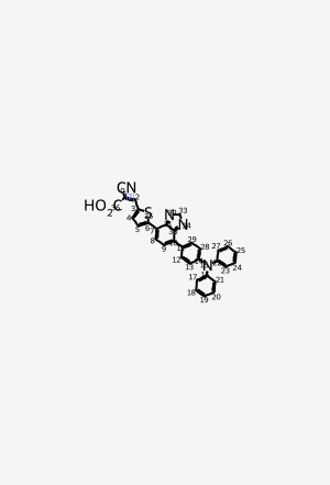 N#C/C(=C/c1ccc(-c2ccc(-c3ccc(N(c4ccccc4)c4ccccc4)cc3)c3c2=NCN=3)s1)C(=O)O